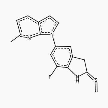 C=S=C1Cc2cc(-n3ccc4ccc(C)nc43)cc(F)c2N1